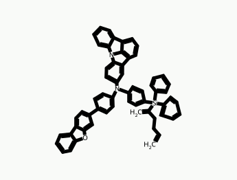 C=CCCC(=C)[Si](c1ccccc1)(c1ccccc1)c1ccc(N(c2ccc(-c3ccc4c(c3)oc3ccccc34)cc2)c2ccc3c(c2)c2cccc4c5ccccc5n3c42)cc1